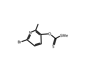 CSC(=S)Oc1ccc(Br)nc1C